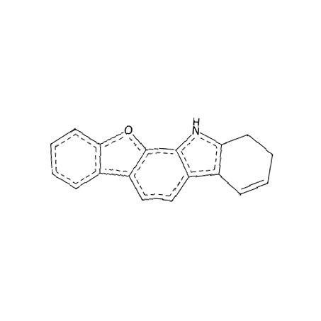 C1=Cc2c([nH]c3c2ccc2c4ccccc4oc23)CC1